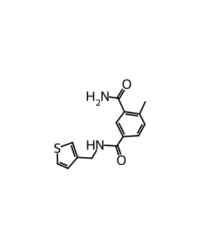 Cc1ccc(C(=O)NCc2ccsc2)cc1C(N)=O